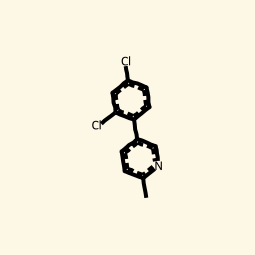 Cc1ccc(-c2ccc(Cl)cc2Cl)cn1